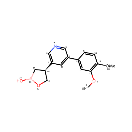 CCCOc1cc(-c2cncc([C@H]3COB(O)C3)c2)ccc1OC